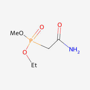 CCOP(=O)(CC(N)=O)OC